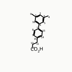 Cc1cc(C)cc(-c2ccc(CCC(=O)O)cc2)c1